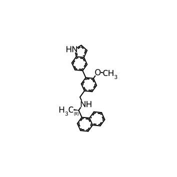 COc1ccc(CN[C@H](C)c2cccc3ccccc23)cc1-c1ccc2[nH]ccc2c1